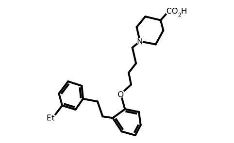 CCc1cccc(CCc2ccccc2OCCCCN2CCC(C(=O)O)CC2)c1